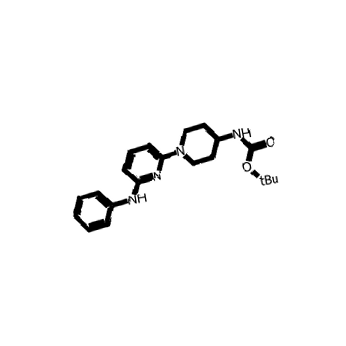 CC(C)(C)OC(=O)NC1CCN(c2cccc(Nc3ccccc3)n2)CC1